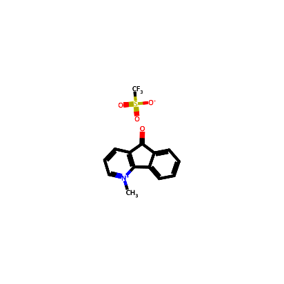 C[n+]1cccc2c1-c1ccccc1C2=O.O=S(=O)([O-])C(F)(F)F